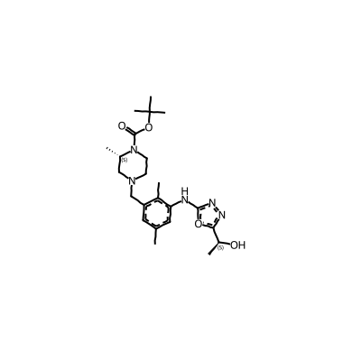 Cc1cc(CN2CCN(C(=O)OC(C)(C)C)[C@@H](C)C2)c(C)c(Nc2nnc([C@H](C)O)o2)c1